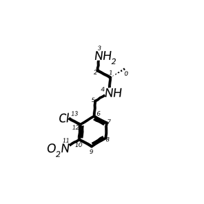 C[C@@H](CN)NCc1cccc([N+](=O)[O-])c1Cl